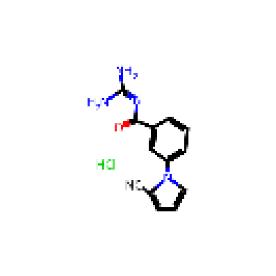 Cl.N#Cc1cccn1-c1cccc(C(=O)N=C(N)N)c1